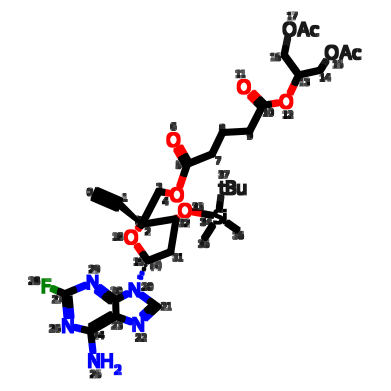 C#C[C@]1(COC(=O)CCCC(=O)OC(COC(C)=O)COC(C)=O)O[C@@H](n2cnc3c(N)nc(F)nc32)CC1O[Si](C)(C)C(C)(C)C